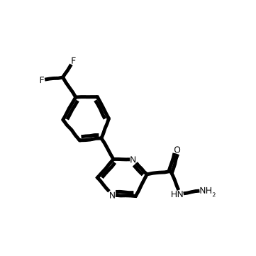 NNC(=O)c1cncc(-c2ccc(C(F)F)cc2)n1